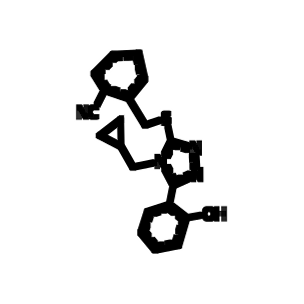 N#Cc1ccccc1CSc1nnc(-c2ccccc2O)n1CC1CC1